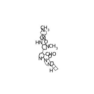 CN1CCn2nc(Nc3cc(-c4ccnc(N5CCn6c(cc7c6[C@@H]6CCC76)C5=O)c4C=O)cn(C)c3=O)cc2C1